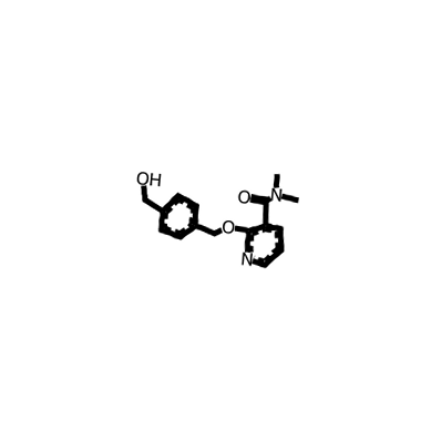 CN(C)C(=O)c1cccnc1OCc1ccc(CO)cc1